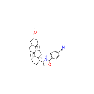 COCC1CC[C@H]2C(CC[C@@H]3C2CC[C@@]2(C)C3CCC[C@@H]2[C@H](C)NC(=O)c2ccc(C#N)cc2)C1